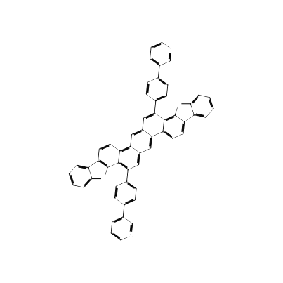 c1cncc(-c2ccc(-c3cc4cc5c(cc(-c6ccc(-c7cccnc7)cc6)c6c5ccc5c7ccccc7sc56)cc4c4ccc5c6ccccc6sc5c34)cc2)c1